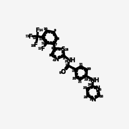 O=C(Nc1ncc(-c2cccc(C(F)(F)F)c2F)s1)c1ccc(Nc2ccncn2)cc1